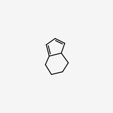 [C]1=C2CCCCC2C=C1